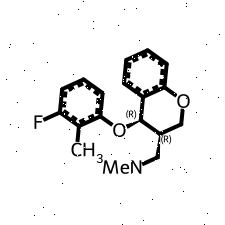 CNC[C@@H]1COc2ccccc2[C@@H]1Oc1cccc(F)c1C